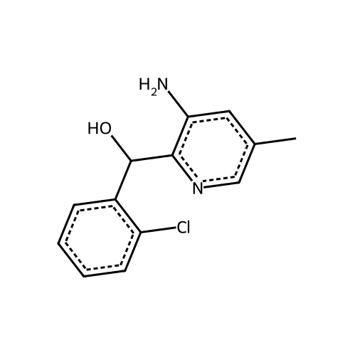 Cc1cnc(C(O)c2ccccc2Cl)c(N)c1